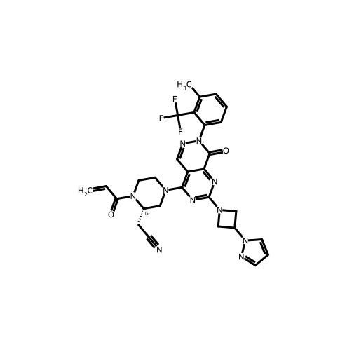 C=CC(=O)N1CCN(c2nc(N3CC(n4cccn4)C3)nc3c(=O)n(-c4cccc(C)c4C(F)(F)F)ncc23)C[C@@H]1CC#N